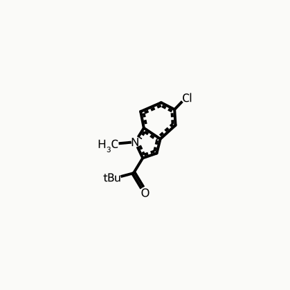 Cn1c(C(=O)C(C)(C)C)cc2cc(Cl)ccc21